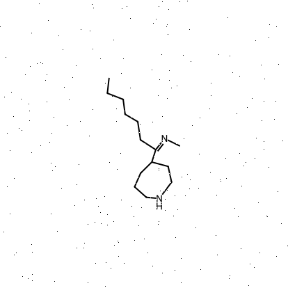 CCCCCC/C(=N/C)C1CCCNCC1